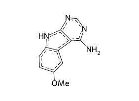 COc1ccc2[nH]c3ncnc(N)c3c2c1